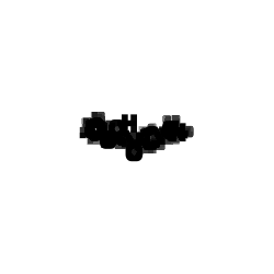 CN1CCC(N2CCN(C(=O)NCC(=O)Oc3ccccc3)CC2)C1